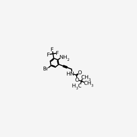 CC(C)(C)OC(=O)NCC#Cc1cc(Br)cc(C(F)(F)F)c1N